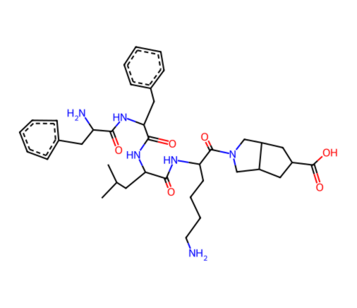 CC(C)CC(NC(=O)C(Cc1ccccc1)NC(=O)C(N)Cc1ccccc1)C(=O)NC(CCCCN)C(=O)N1CC2CC(C(=O)O)CC2C1